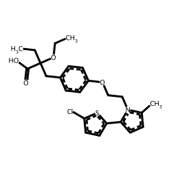 CCOC(CC)(Cc1ccc(OCCn2c(C)ccc2-c2ccc(Cl)s2)cc1)C(=O)O